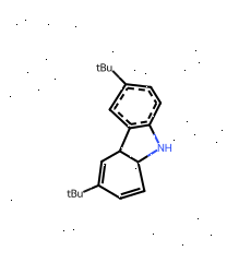 CC(C)(C)C1=CC2c3cc(C(C)(C)C)ccc3NC2C=C1